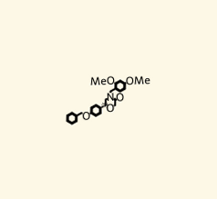 COc1ccc(CN2C[C@H](c3ccc(OCc4ccccc4)cc3)OCC2=O)c(OC)c1